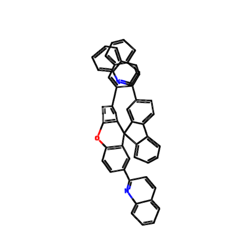 c1ccc2c(c1)-c1ccc(-c3ccc4ccccc4n3)cc1C21c2cc(-c3ccc4ccccc4c3)ccc2Oc2ccc(-c3ccc4ccccc4n3)cc21